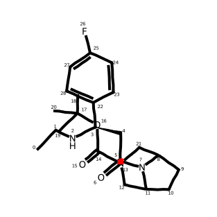 CCN[C@H](CC(=O)N1C2CCC1CN(C(=O)OC(C)(C)C)C2)c1ccc(F)cc1